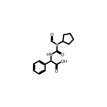 O=CN(C(=O)NC(C(=O)O)c1ccccc1)C1CCCC1